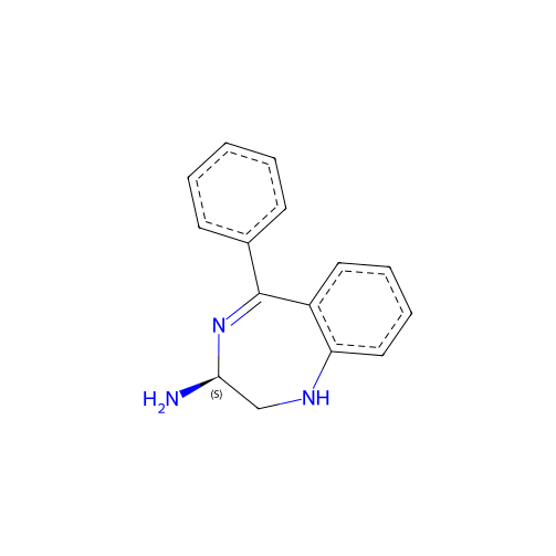 N[C@@H]1CNc2ccccc2C(c2ccccc2)=N1